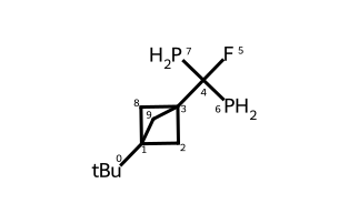 CC(C)(C)C12CC(C(F)(P)P)(C1)C2